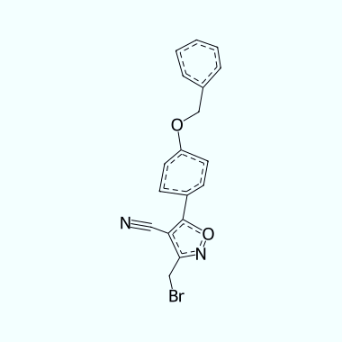 N#Cc1c(CBr)noc1-c1ccc(OCc2ccccc2)cc1